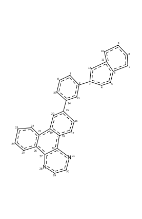 c1cc(-c2ccc3ccccc3c2)cc(-c2ccc3c(c2)c2ccccc2c2nccnc32)c1